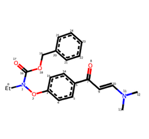 CCN(Oc1ccc(C(=O)C=CN(C)C)cc1)C(=O)OCc1ccccc1